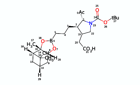 CC(=O)[C@H]1[C@H](CCCB2O[C@@H]3C[C@@H]4C[C@@H](C4(C)C)[C@]3(C)O2)C(CC(=O)O)CN1C(=O)OC(C)(C)C